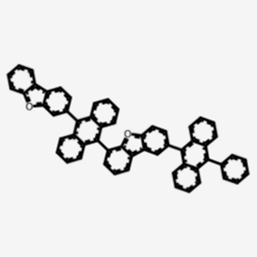 c1ccc(-c2c3ccccc3c(-c3ccc4oc5c(-c6c7ccccc7c(-c7ccc8c(c7)oc7ccccc78)c7ccccc67)cccc5c4c3)c3ccccc23)cc1